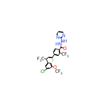 O=C(NNc1ncccn1)c1ccc(C(F)=CC(c2cc(Cl)cc(OC(F)(F)F)c2)C(F)(F)F)cc1C(F)(F)F